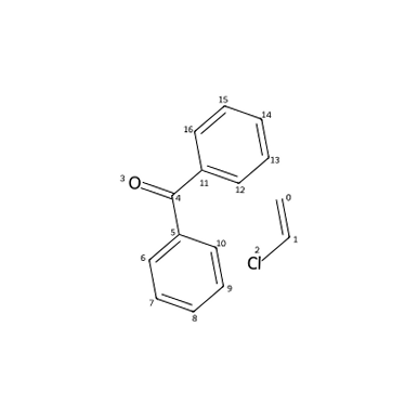 C=CCl.O=C(c1ccccc1)c1ccccc1